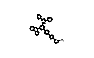 Cc1cccc(-c2ccc(-c3ccc(-c4cc(-c5nc(-c6ccccc6)cc(-c6ccccc6)n5)cc(-c5cc6ccccc6c6ccccc56)c4)cc3)cc2)n1